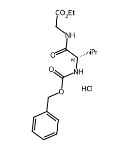 CCOC(=O)CNC(=O)[C@@H](NC(=O)OCc1ccccc1)C(C)C.Cl